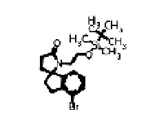 CC(C)(C)[Si](C)(C)OCCN1C(=O)CCC12CCc1c(Br)cccc12